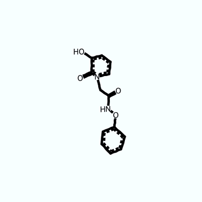 O=C(Cn1cccc(O)c1=O)NOc1ccccc1